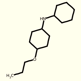 CCCOC1CCC(NC2CCCCC2)CC1